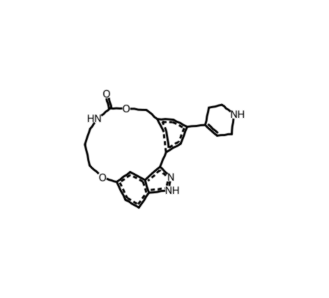 O=C1NCCCOc2ccc3[nH]nc(c3c2)-c2cc(cc(C3=CCNCC3)c2)CO1